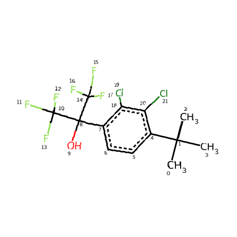 CC(C)(C)c1ccc(C(O)(C(F)(F)F)C(F)(F)F)c(Cl)c1Cl